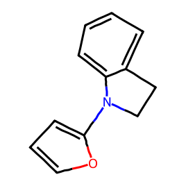 c1coc(N2CCc3ccccc32)c1